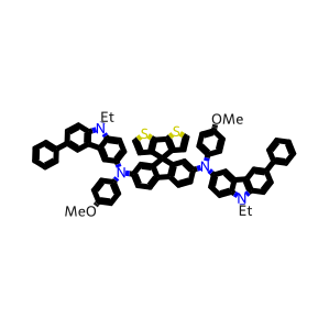 CCn1c2ccc(-c3ccccc3)cc2c2cc(N(c3ccc(OC)cc3)c3ccc4c(c3)C3(c5cc(N(c6ccc(OC)cc6)c6ccc7c(c6)c6cc(-c8ccccc8)ccc6n7CC)ccc5-4)c4ccsc4-c4sccc43)ccc21